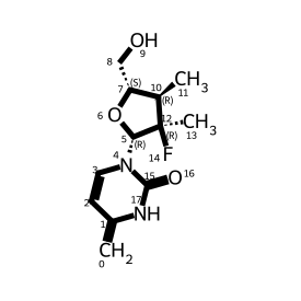 C=C1C=CN([C@@H]2O[C@H](CO)[C@@H](C)[C@@]2(C)F)C(=O)N1